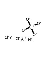 [Al+3].[Cl-].[Cl-].[Cl-].[N+].[O-][Cl+3]([O-])([O-])[O-]